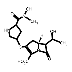 CC(O)C1C(=O)N2C(C(=O)O)=C(SC3CNC(C(=O)N(C)C)C3)C[C@H]12